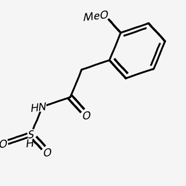 COc1ccccc1CC(=O)N[SH](=O)=O